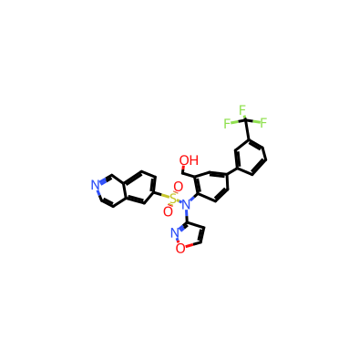 O=S(=O)(c1ccc2cnccc2c1)N(c1ccon1)c1ccc(-c2cccc(C(F)(F)F)c2)cc1CO